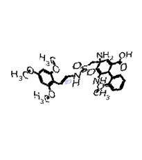 COc1cc(OC)c(/C=C/NS(=O)(=O)CC2(N)C=C(N)C(c3ccccc3OC)C(C(=O)O)=C2)c(OC)c1